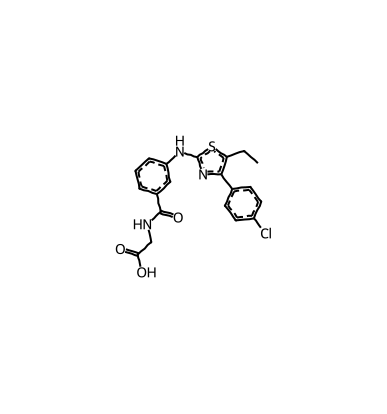 CCc1sc(Nc2cccc(C(=O)NCC(=O)O)c2)nc1-c1ccc(Cl)cc1